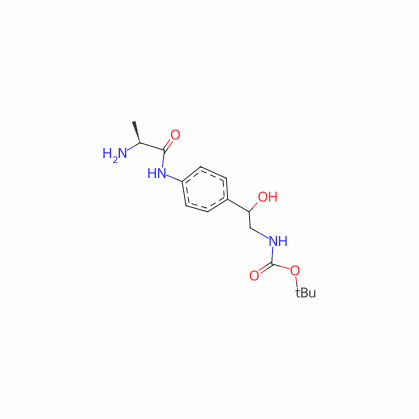 C[C@H](N)C(=O)Nc1ccc(C(O)CNC(=O)OC(C)(C)C)cc1